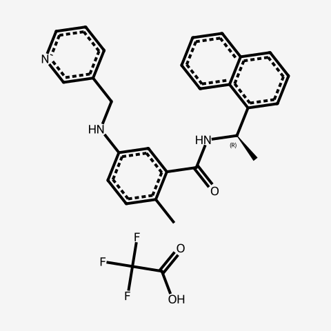 Cc1ccc(NCc2cccnc2)cc1C(=O)N[C@H](C)c1cccc2ccccc12.O=C(O)C(F)(F)F